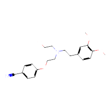 COc1ccc(CCN(CCO)CCOc2ccc(C#N)cc2)cc1OC